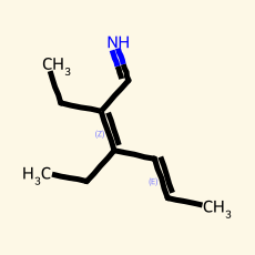 C/C=C/C(CC)=C(\C=N)CC